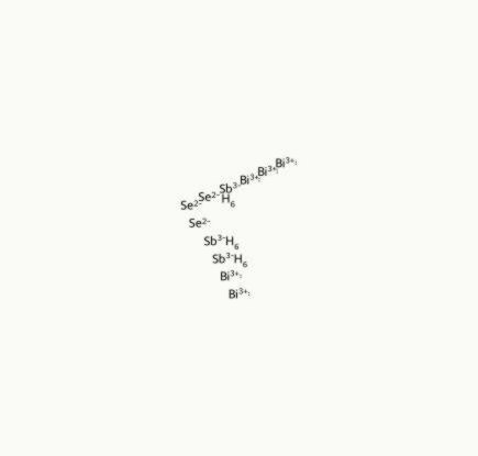 [Bi+3].[Bi+3].[Bi+3].[Bi+3].[Bi+3].[SbH6-3].[SbH6-3].[SbH6-3].[Se-2].[Se-2].[Se-2]